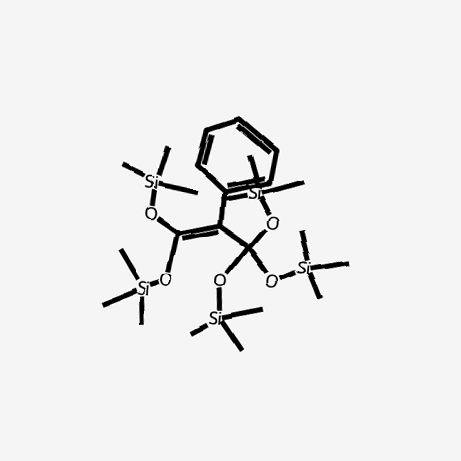 C[Si](C)(C)OC(O[Si](C)(C)C)=C(c1ccccc1)C(O[Si](C)(C)C)(O[Si](C)(C)C)O[Si](C)(C)C